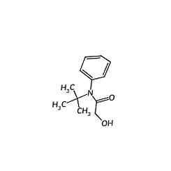 CC(C)(C)N(C(=O)CO)c1ccccc1